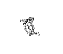 NOS(=O)(=O)c1ccc2ccc3c(S(=O)(=O)O)c(S(=O)(=O)O)cc4ccc1c2c43